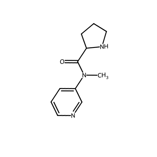 CN(C(=O)C1CCCN1)c1cccnc1